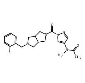 CC(=O)N(C)c1cnn(C(=O)N2CC3CN(Cc4ccccc4F)CC3C2)c1